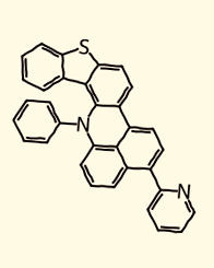 c1ccc(N2c3cccc4c(-c5ccccn5)ccc(c34)-c3ccc4sc5ccccc5c4c32)cc1